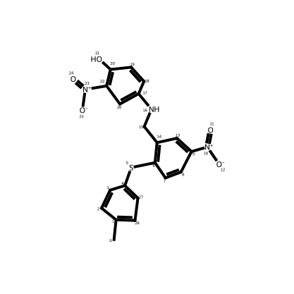 Cc1ccc(Sc2ccc([N+](=O)[O-])cc2CNc2ccc(O)c([N+](=O)[O-])c2)cc1